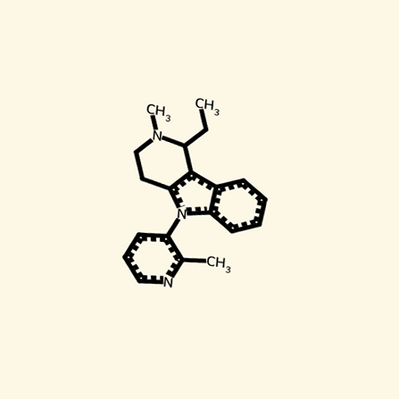 CCC1c2c(n(-c3cccnc3C)c3ccccc23)CCN1C